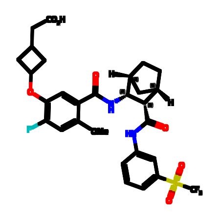 COc1cc(F)c(OC2CC(CC(=O)O)C2)cc1C(=O)N[C@@H]1[C@@H]2CC[C@@H](C2)[C@@H]1C(=O)Nc1cccc(S(=O)(=O)C(F)(F)F)c1